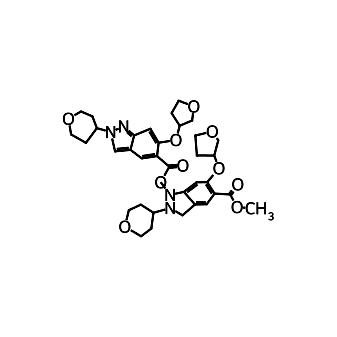 COC(=O)c1cc2c(cc1OC1CCOC1)N(OC(=O)c1cc3cn(C4CCOCC4)nc3cc1OC1CCOC1)N(C1CCOCC1)C2